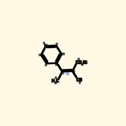 CCOC(=O)/C(C#N)=C(/C)c1ccncc1